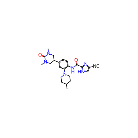 [C-]#[N+]c1c[nH]c(C(=O)Nc2ccc(C3CN(C)C(=O)N(C)C3)cc2N2CCC(C)CC2)n1